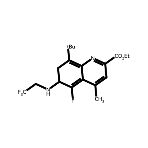 CCOC(=O)c1cc(C)c2c(n1)=C(C(C)(C)C)CC(NCC(F)(F)F)C=2F